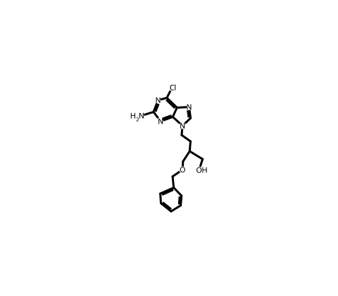 Nc1nc(Cl)c2ncn(CCC(CO)COCc3ccccc3)c2n1